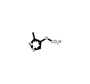 Cc1nscc1OC(=O)O